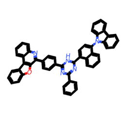 c1ccc(C2=NC(c3ccc(-n4c5ccccc5c5ccccc54)c4ccccc34)NC(c3ccc(-c4nc5ccccc5c5c4oc4ccccc45)cc3)=N2)cc1